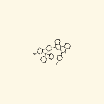 N#Cc1ccc2c(c1)C(c1ccccc1)(c1ccccc1)c1cc(-c3cc4c(-c5ccc(F)cc5)nc5ccccc5c4c4ccccc34)ccc1-2